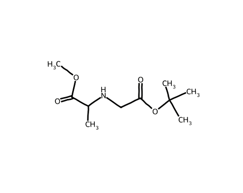 COC(=O)C(C)NCC(=O)OC(C)(C)C